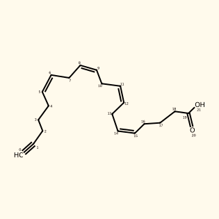 C#CCCC/C=C\C/C=C\C/C=C\C/C=C\CCCC(=O)O